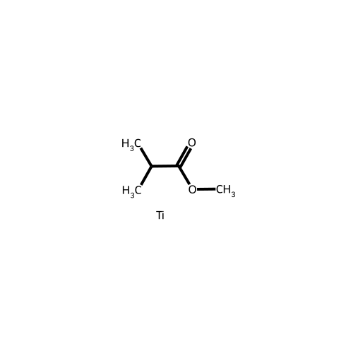 COC(=O)C(C)C.[Ti]